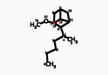 CCCCN(C)C1CCC2CC1C2COC